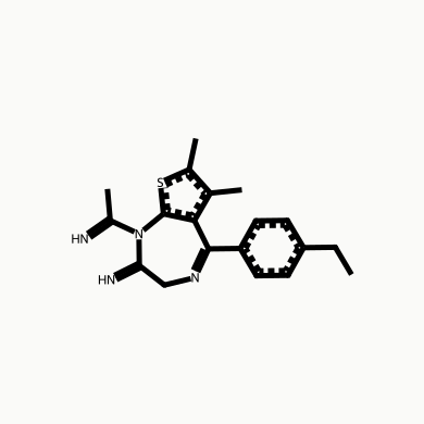 CCc1ccc(C2=NCC(=N)N(C(C)=N)c3sc(C)c(C)c32)cc1